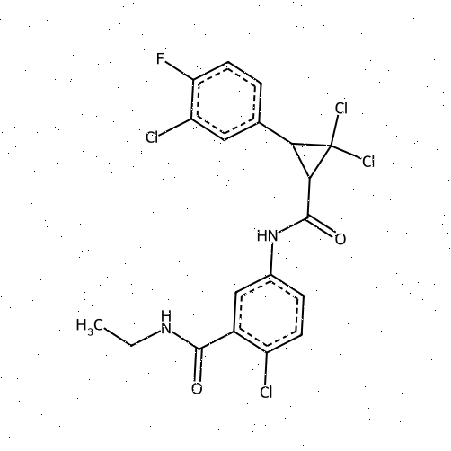 CCNC(=O)c1cc(NC(=O)C2C(c3ccc(F)c(Cl)c3)C2(Cl)Cl)ccc1Cl